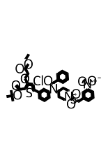 CCOC(=O)COc1c(C(=O)OC(C)(C)C)sc(-c2cccc(N(C(=O)c3ccccc3)C3CCN(S(=O)(=O)Cc4cccc([N+](=O)[O-])c4)CC3)c2)c1Cl